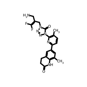 Cc1ccc(-c2cc(C)c3c(c2)CCC(=O)N3)nc1-n1nnn(CC(CN)=C(F)F)c1=O